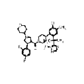 Cc1cc(C(C)(C)c2ncnn2C)c(C2CCN(C(=O)C3CN(C4CCOCC4)CC3c3ccc(F)cc3F)CC2)cc1Cl